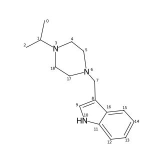 CC(C)N1CCN(Cc2c[nH]c3ccccc23)CC1